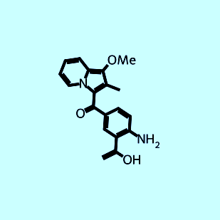 C=C(O)c1cc(C(=O)c2c(C)c(OC)c3ccccn23)ccc1N